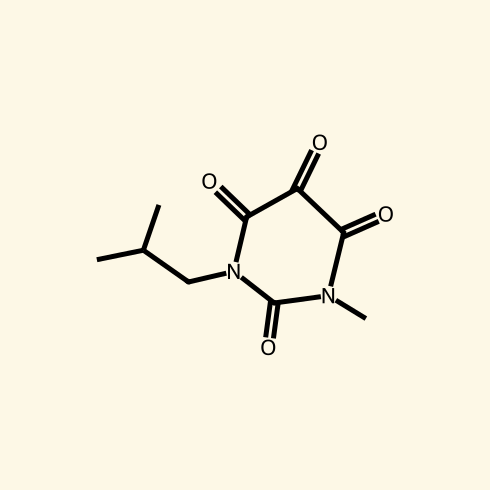 CC(C)CN1C(=O)C(=O)C(=O)N(C)C1=O